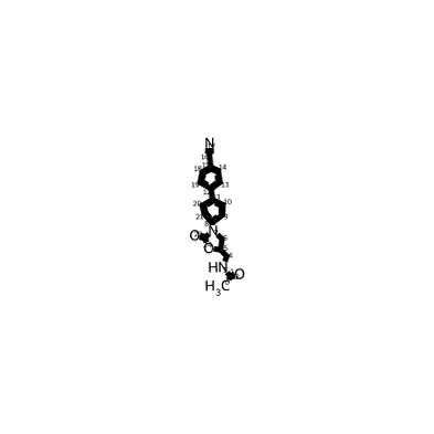 CC(=O)NCC1CN(c2ccc(-c3ccc(C#N)cc3)cc2)C(=O)O1